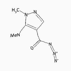 CNc1c(C(=O)N=[N+]=[N-])cnn1C